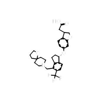 O=C(O)CC1COc2cc(O[C@@H]3CCc4c3ccc(C(F)(F)F)c4CN3CCC4(CCCO4)CC3)ccc21